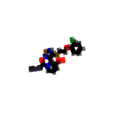 COC(=O)N1CC2CCC1(c1nsnc1SCCOc1ccccc1F)C(O)C2